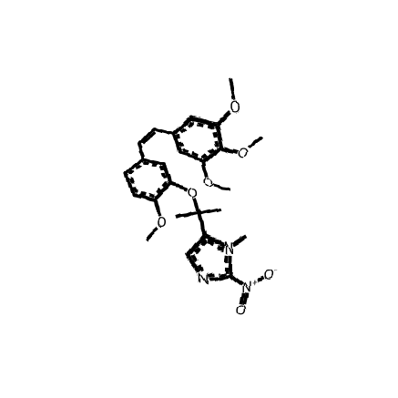 COc1ccc(/C=C\c2cc(OC)c(OC)c(OC)c2)cc1OC(C)(C)c1cnc([N+](=O)[O-])n1C